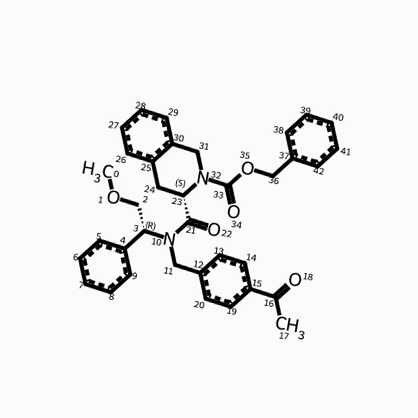 COC[C@@H](c1ccccc1)N(Cc1ccc(C(C)=O)cc1)C(=O)[C@@H]1Cc2ccccc2CN1C(=O)OCc1ccccc1